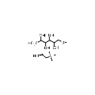 C[N+](C)(C)CCO.O=C(O)C(O)C(O)C(O)C(O)CO